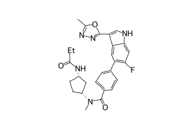 CCC(=O)N[C@H]1CC[C@@H](N(C)C(=O)c2ccc(-c3cc4c(-c5nnc(C)o5)c[nH]c4cc3F)cc2)C1